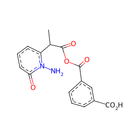 CC(C(=O)OC(=O)c1cccc(C(=O)O)c1)c1cccc(=O)n1N